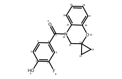 O=C(c1ccc(O)c(F)c1)N1CC2(CC2)Oc2ccccc21